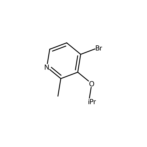 Cc1nccc(Br)c1OC(C)C